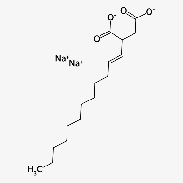 CCCCCCCCCC/C=C/C(CC(=O)[O-])C(=O)[O-].[Na+].[Na+]